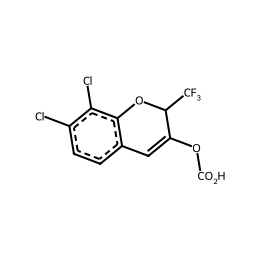 O=C(O)OC1=Cc2ccc(Cl)c(Cl)c2OC1C(F)(F)F